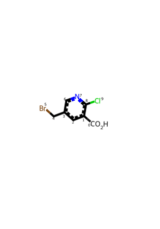 O=C(O)c1cc(CBr)cnc1Cl